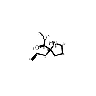 C=CCC1(C(=O)OC)CCCN1